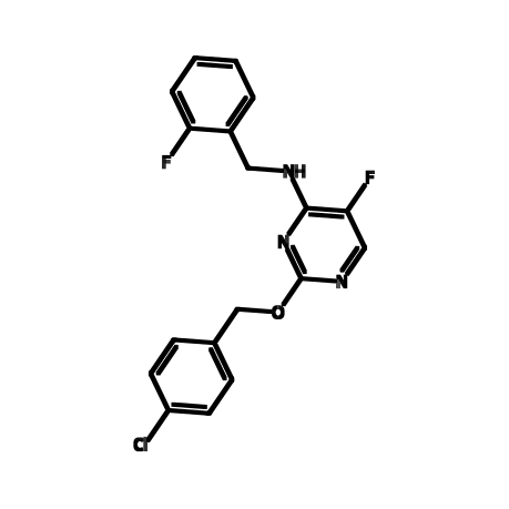 Fc1ccccc1CNc1nc(OCc2ccc(Cl)cc2)ncc1F